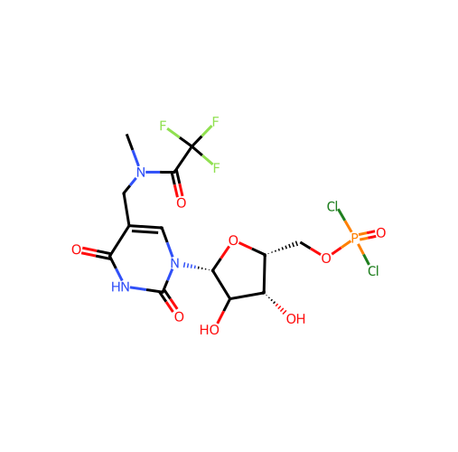 CN(Cc1cn([C@@H]2O[C@H](COP(=O)(Cl)Cl)[C@H](O)C2O)c(=O)[nH]c1=O)C(=O)C(F)(F)F